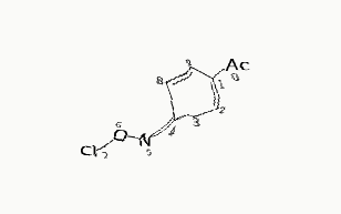 CC(=O)C1=CCC(=NOCl)C=C1